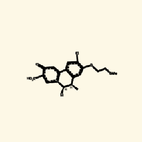 CC[C@@H]1[C@H](C)c2cc(OCCOC)c(Cl)cc2-c2cc(=O)c(C(=O)O)cn21